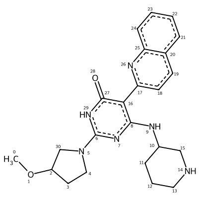 COC1CCN(c2nc(NC3CCCNC3)c(-c3ccc4ccccc4n3)c(=O)[nH]2)C1